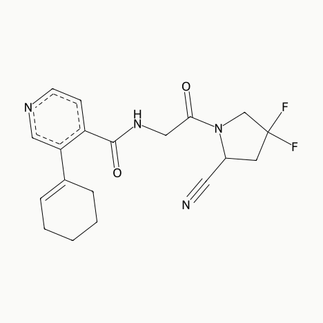 N#CC1CC(F)(F)CN1C(=O)CNC(=O)c1ccncc1C1=CCCCC1